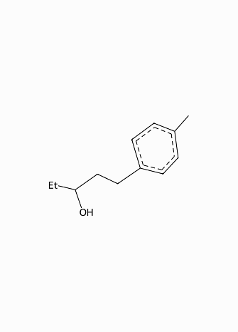 CCC(O)CCc1ccc(C)cc1